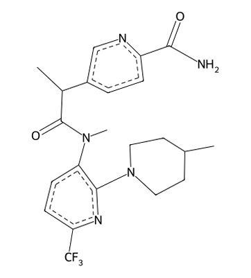 CC1CCN(c2nc(C(F)(F)F)ccc2N(C)C(=O)C(C)c2ccc(C(N)=O)nc2)CC1